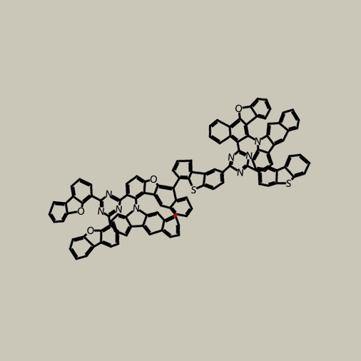 c1ccc2cc3c(cc2c1)c1ccccc1n3-c1c(-c2nc(-c3cccc4c3oc3ccccc34)nc(-c3cccc4c3oc3ccccc34)n2)ccc2oc3c(-c4cccc5c4sc4ccc(-c6nc(-c7ccc8sc9ccccc9c8c7)nc(-c7c(-n8c9ccccc9c9cc%10ccccc%10cc98)c8c9ccccc9oc8c8ccccc78)n6)cc45)c4ccccc4cc3c12